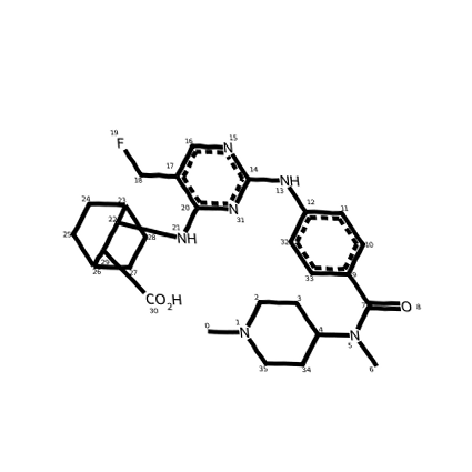 CN1CCC(N(C)C(=O)c2ccc(Nc3ncc(CF)c(NC4C5CCC(CC5)C4C(=O)O)n3)cc2)CC1